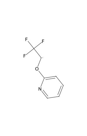 FC(F)(F)[CH]Oc1ccccn1